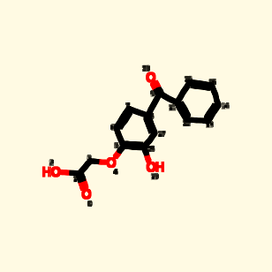 O=C(O)COc1ccc(C(=O)c2ccccc2)cc1O